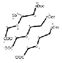 CCCCCCCCCCCCSCC(=O)[O-].CCCCCCCCCCCCSCC(=O)[O-].CCCCCCCCCCCCSCC(=O)[O-].[Sb+3]